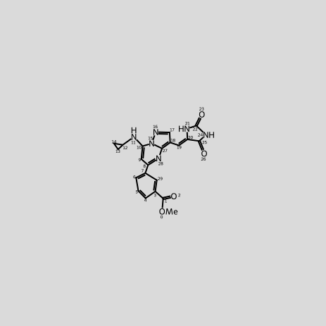 COC(=O)c1cccc(-c2cc(NC3CC3)n3ncc(/C=C4\NC(=O)NC4=O)c3n2)c1